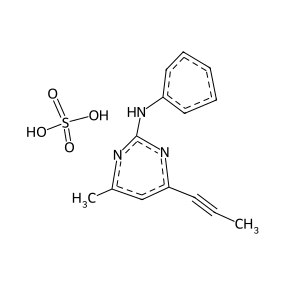 CC#Cc1cc(C)nc(Nc2ccccc2)n1.O=S(=O)(O)O